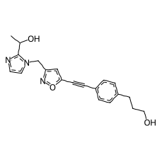 CC(O)c1nccn1Cc1cc(C#Cc2ccc(CCCO)cc2)on1